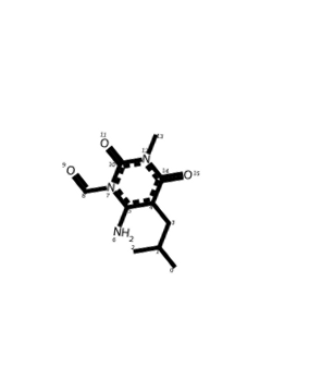 CC(C)Cc1c(N)n(C=O)c(=O)n(C)c1=O